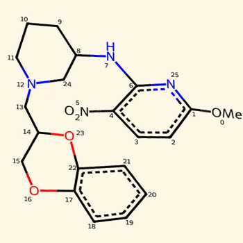 COc1ccc([N+](=O)[O-])c(NC2CCCN(CC3COc4ccccc4O3)C2)n1